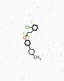 CC1CCC(c2ccc(OC(F)(F)CCc3cccc(F)c3Cl)cc2)CC1